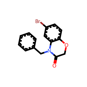 O=C1COc2ccc(Br)cc2N1Cc1ccccc1